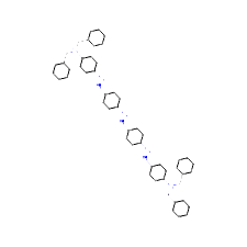 c1ccc(CN(Cc2ccccc2)c2ccc(/N=N/c3ccc(/N=N/c4ccc(/N=N/c5ccc(N(Cc6ccccc6)Cc6ccccc6)cc5)cc4)cc3)cc2)cc1